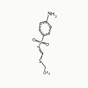 CCSC=NS(=O)(=O)c1ccc(N)cc1